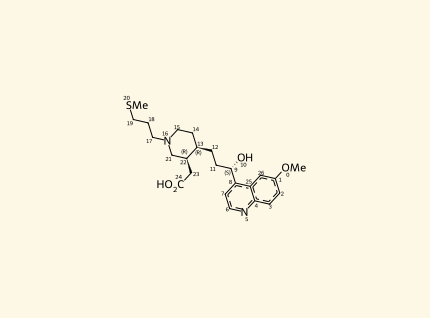 COc1ccc2nccc([C@@H](O)CC[C@@H]3CCN(CCCSC)C[C@@H]3CC(=O)O)c2c1